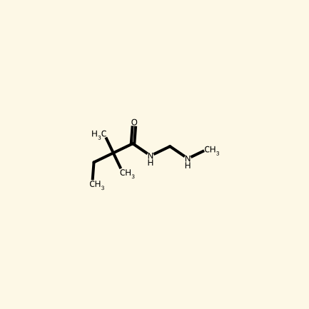 CCC(C)(C)C(=O)NCNC